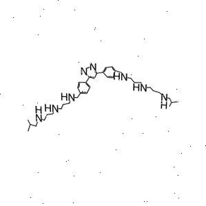 CC(C)CNCCCNCCCNCc1ccc(-c2cc(-c3ccc(CNCCCNCCCNCC(C)C)cc3)ncn2)cc1